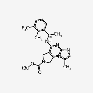 Cc1c([C@@H](C)Nc2nc3ncc(C)n3c3c2CN(C(=O)OC(C)(C)C)C3)cccc1C(F)(F)F